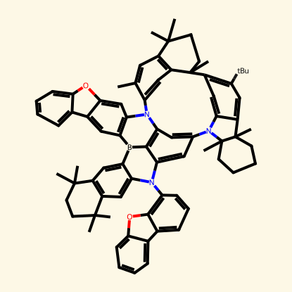 Cc1cc2c3cc1N1c4cc5oc6ccccc6c5cc4B4c5cc6c(cc5N(c5cccc7c5oc5ccccc57)c5cc(cc1c54)N1c4cc(c(C(C)(C)C)cc4C4(C)CCCCC14C)C3(C)CCC2(C)C)C(C)(C)CCC6(C)C